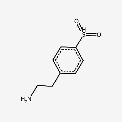 NCCc1ccc([SH](=O)=O)cc1